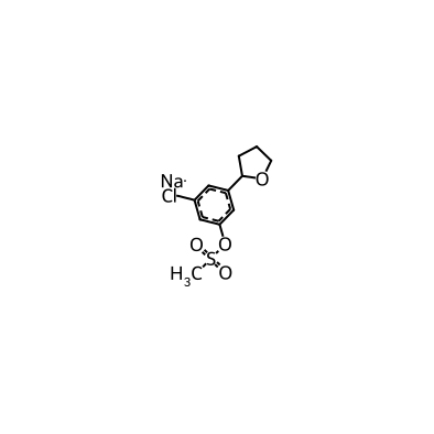 CS(=O)(=O)Oc1cc(Cl)cc(C2CCCO2)c1.[Na]